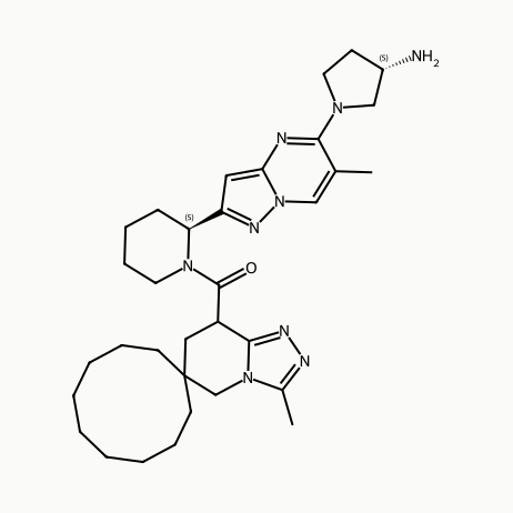 Cc1cn2nc([C@@H]3CCCCN3C(=O)C3CC4(CCCCCCCCC4)Cn4c(C)nnc43)cc2nc1N1CC[C@H](N)C1